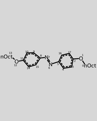 CCCCCCCCOc1ccc(N=Nc2ccc(OCCCCCCCC)cc2)cc1